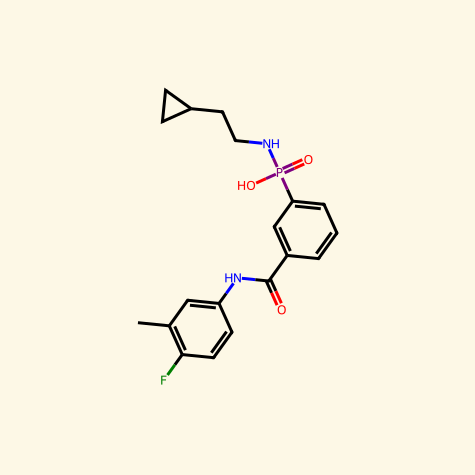 Cc1cc(NC(=O)c2cccc(P(=O)(O)NCCC3CC3)c2)ccc1F